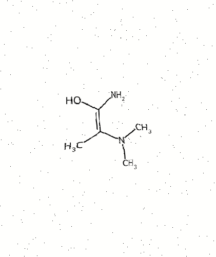 C/C(=C(/N)O)N(C)C